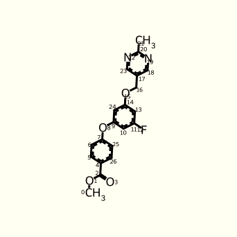 COC(=O)c1ccc(Oc2cc(F)cc(OCc3cnc(C)nc3)c2)cc1